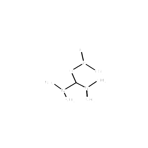 CN(C)C(OP(F)P)N(C)C